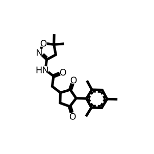 Cc1cc(C)c(C2C(=O)CC(CC(=O)NC3=NOC(C)(C)C3)C2=O)c(C)c1